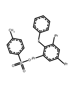 CC(C)c1cc(C(C)C)c([I+]c2ccccc2)c(C(C)C)c1.Cc1ccc(S(=O)(=O)[O-])cc1